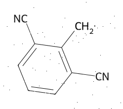 [CH2]c1c(C#N)cccc1C#N